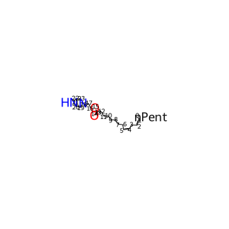 CCCCC/C=C\C/C=C\CCCCCCCC(=O)OCCN1CCNCC1